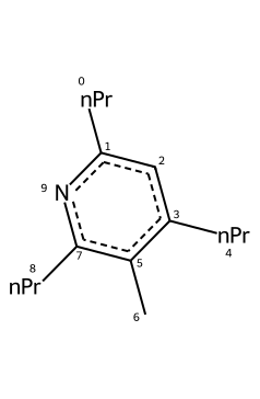 CCCc1cc(CCC)c(C)c(CCC)n1